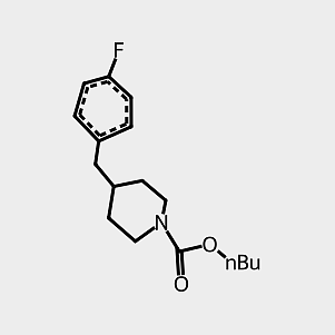 CCCCOC(=O)N1CCC(Cc2ccc(F)cc2)CC1